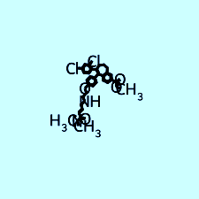 COC(=O)c1ccc2c(c1)CCCC(c1ccc(Cl)cc1Cl)=C2c1ccc(OCCNCC=CC(=O)N(C)C)cc1